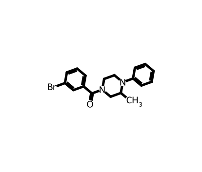 CC1CN(C(=O)c2cccc(Br)c2)CCN1c1ccccc1